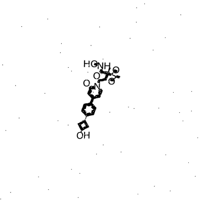 C[C@@](CCn1ccc(-c2ccc([C@H]3C[C@@H](O)C3)cc2)cc1=O)(C(=O)NO)S(C)(=O)=O